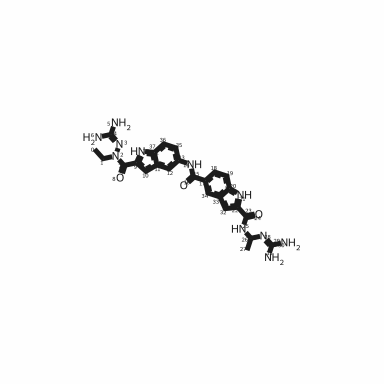 CCN(N=C(N)N)C(=O)c1cc2cc(NC(=O)c3ccc4[nH]c(C(=O)NC(C)N=C(N)N)cc4c3)ccc2[nH]1